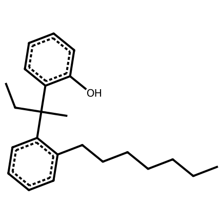 CCCCCCCc1ccccc1C(C)(CC)c1ccccc1O